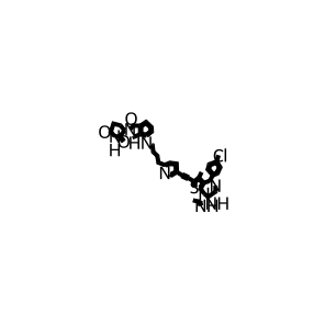 CC(=N)N1C(=N)CN=C(c2ccc(Cl)cc2)c2c1sc(C#Cc1ccc(CCCCNc3cccc4c3CN(C3CCC(=O)NC3=O)C4=O)nc1)c2C